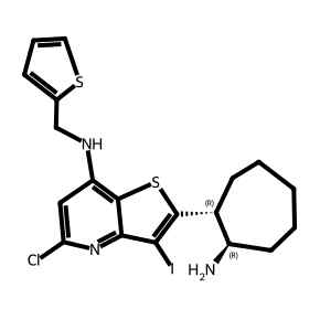 N[C@@H]1CCCCC[C@H]1c1sc2c(NCc3cccs3)cc(Cl)nc2c1I